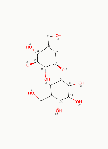 OCC1C[C@H](O[C@@H]2CC(CO)[C@@H](O)[C@H](O)C2O)C(O)C(O)[C@@H]1O